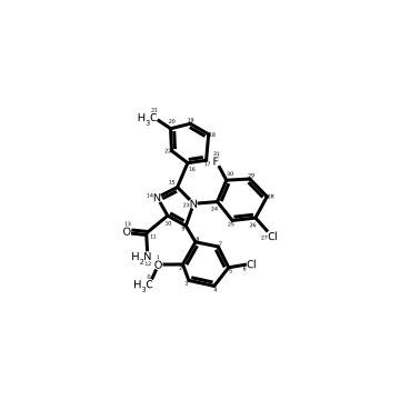 COc1ccc(Cl)cc1-c1c(C(N)=O)nc(-c2cccc(C)c2)n1-c1cc(Cl)ccc1F